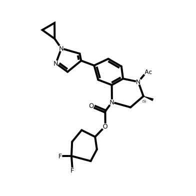 CC(=O)N1c2ccc(-c3cnn(C4CC4)c3)cc2N(C(=O)OC2CCC(F)(F)CC2)C[C@@H]1C